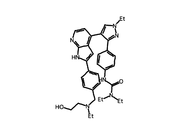 CCN(CCO)Cc1ccc(-c2cc3c(-c4cn(CC)nc4-c4ccc(NC(=O)N(CC)CC)cc4)ccnc3[nH]2)cc1